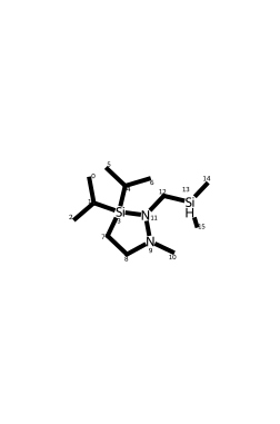 CC(C)[Si]1(C(C)C)CCN(C)N1C[SiH](C)C